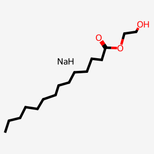 CCCCCCCCCCCCCC(=O)OCCO.[NaH]